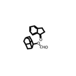 O=C1CCc2ccccc21.O=COC1C2CC3CC(C2)CC1C3